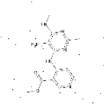 CNc1nc(C)nc(Nc2ccncc2C(=O)OC)c1N